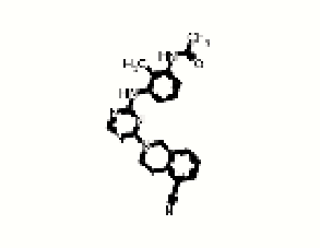 CC(=O)Nc1cccc(Nc2ncnc(N3CCc4c(C#N)cccc4C3)n2)c1C